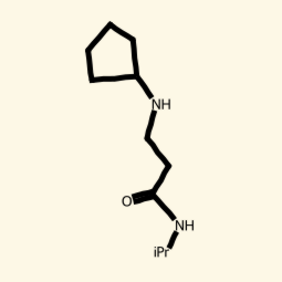 CC(C)NC(=O)CCNC1CCCC1